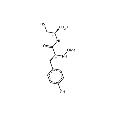 CON[C@@H](Cc1ccc(O)cc1)C(=O)N[C@@H](CS)C(=O)O